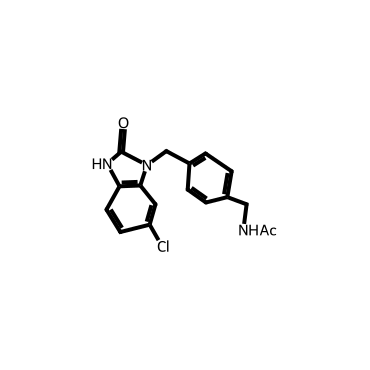 CC(=O)NCc1ccc(Cn2c(=O)[nH]c3ccc(Cl)cc32)cc1